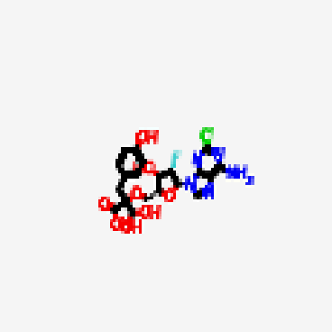 Nc1nc(Cl)nc2c1ncn2[C@@H]1O[C@H](COC(Cc2ccc(O)cc2)(C(=O)O)C(O)O)[C@@H](O)[C@@H]1F